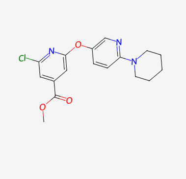 COC(=O)c1cc(Cl)nc(Oc2ccc(N3CCCCC3)nc2)c1